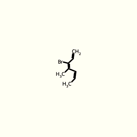 C=C/C(Br)=C(C)\C=C/C